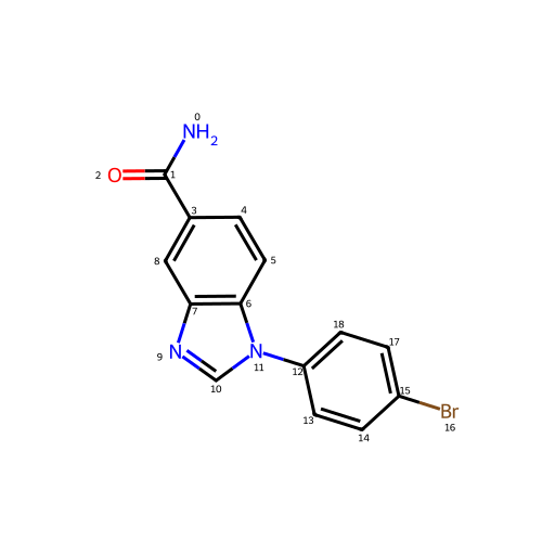 NC(=O)c1ccc2c(c1)ncn2-c1ccc(Br)cc1